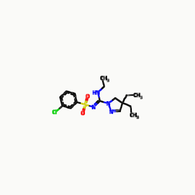 CCN/C(=N\S(=O)(=O)c1cccc(Cl)c1)N1CC(CC)(CC)C=N1